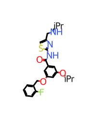 CC(C)NCc1csc(NC(=O)c2cc(OCc3ccccc3F)cc(OC(C)C)c2)n1